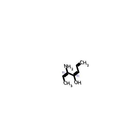 C=C/C=C(O)\C(N)=C/C